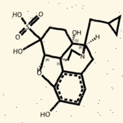 O=S(=O)(O)C1(O)CC[C@@]2(O)[C@H]3Cc4ccc(O)c5c4[C@@]2(CCN3CC2CC2)[C@H]1O5